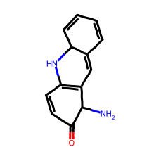 NC1C(=O)C=CC2=C1C=C1C=CC=CC1N2